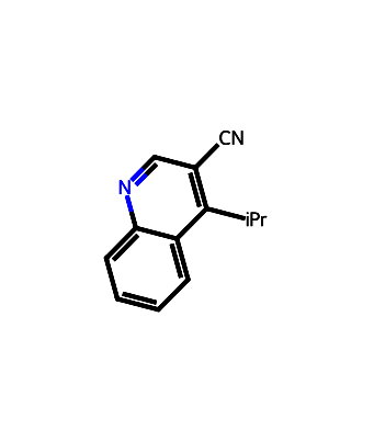 CC(C)c1c(C#N)cnc2ccccc12